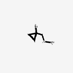 CCC1(COC(C)C)CC1